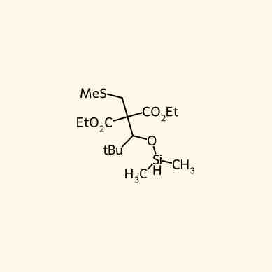 CCOC(=O)C(CSC)(C(=O)OCC)C(O[SiH](C)C)C(C)(C)C